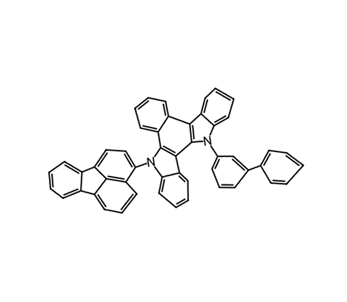 c1ccc(-c2cccc(-n3c4ccccc4c4c5ccccc5c5c(c6ccccc6n5-c5ccc6c7c(cccc57)-c5ccccc5-6)c43)c2)cc1